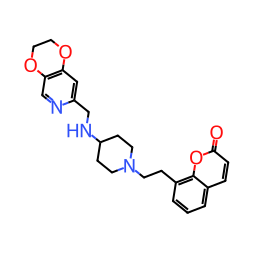 O=c1ccc2cccc(CCN3CCC(NCc4cc5c(cn4)OCCO5)CC3)c2o1